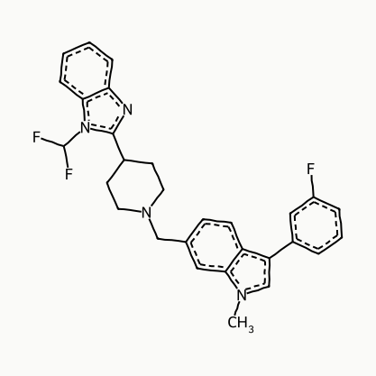 Cn1cc(-c2cccc(F)c2)c2ccc(CN3CCC(c4nc5ccccc5n4C(F)F)CC3)cc21